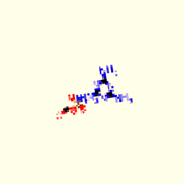 NS(=O)(=O)OC=O.Nc1nc(N)nc(N)n1